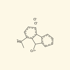 C[SiH](C)c1cccc2c1[CH]([Cr+2])c1ccccc1-2.[Cl-].[Cl-]